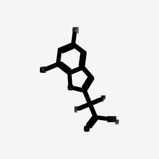 NC(=O)C(F)(F)c1cc2cc(Cl)cc(Cl)c2o1